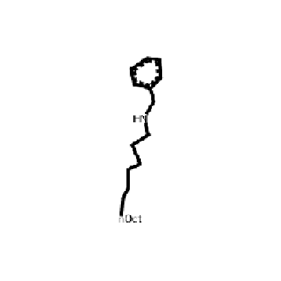 CCCCCCCCCCCCCCNCc1ccccc1